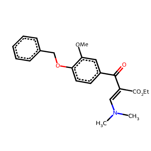 CCOC(=O)C(=CN(C)C)C(=O)c1ccc(OCc2ccccc2)c(OC)c1